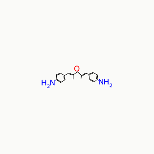 C/C(=C\c1ccc(N)cc1)C(=O)/C(C)=C/c1ccc(N)cc1